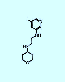 Fc1cncc(NCCNC2CCOCC2)c1